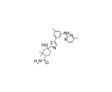 Cc1cc(Nc2nccc(C)n2)cc(-c2cnc(C3(O)CCC(C(N)=O)C(C)(C)C3)s2)c1